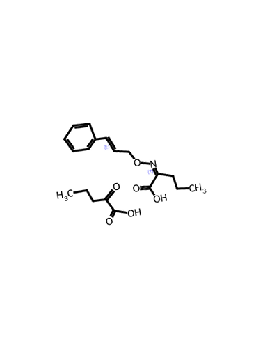 CCC/C(=N/OC/C=C/c1ccccc1)C(=O)O.CCCC(=O)C(=O)O